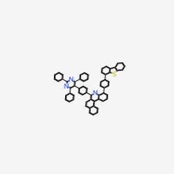 c1ccc(-c2nc(-c3ccccc3)c(-c3ccc(-c4nc5c(-c6ccc(-c7cccc8c7sc7ccccc78)cc6)cccc5c5c4ccc4ccccc45)cc3)c(-c3ccccc3)n2)cc1